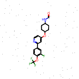 O=CNC1CCC(Oc2ccnc(-c3ccc(OC(F)(F)F)c(F)c3)c2)CC1